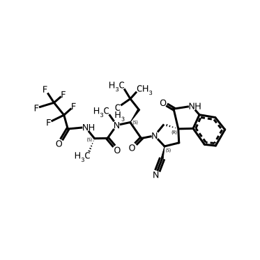 C[C@H](NC(=O)C(F)(F)C(F)(F)F)C(=O)N(C)[C@@H](CC(C)(C)C)C(=O)N1C[C@]2(C[C@H]1C#N)C(=O)Nc1ccccc12